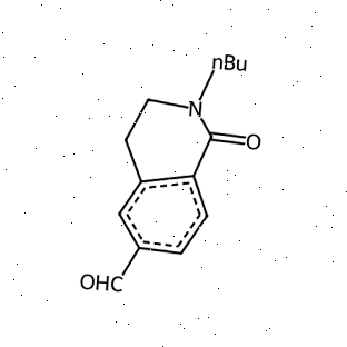 CCCCN1CCc2cc(C=O)ccc2C1=O